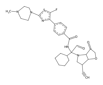 C#CC1CN(C(C=O)(NC(=O)c2ccc(-c3nc(N4CCN(C)CC4)sc3F)cc2)C2CCCCC2)C2C(=O)COC12